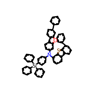 c1ccc(-c2ccc3c(c2)oc2cc(N(c4ccc([Si](c5ccccc5)(c5ccccc5)c5ccccc5)cc4)c4cccc5c4sc4c(-c6ccccc6)cccc45)ccc23)cc1